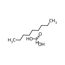 CCCCCCCCC.O=[PH](O)O